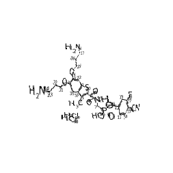 Cc1c(S(=O)(=O)NCP(=O)(O)Oc2ccc(C#N)c(F)c2)sc2cc(OCCCN)c(OCCCN)cc12.Cl.Cl